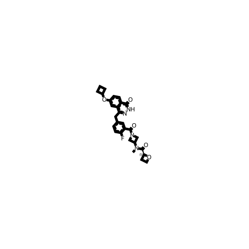 CN(C(=O)[C@@H]1CCO1)C1CN(C(=O)c2cc(Cc3n[nH]c(=O)c4ccc(OC5CCC5)cc34)ccc2F)C1